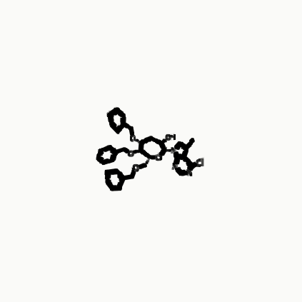 Cc1cn([C@@H]2O[C@H](COCc3ccccc3)[C@@H](OCc3ccccc3)[C@H](OCc3ccccc3)C[C@H]2O)c2ncnc(Cl)c12